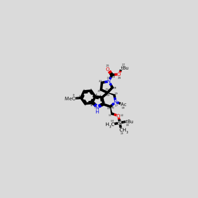 COc1ccc2c3c([nH]c2c1)[C@H](CO[Si](C)(C)C(C)(C)C)N(C(C)=O)C[C@]31CCN(C(=O)OC(C)(C)C)C1